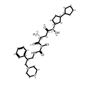 CCN(C(=O)NCC(CN1CCOCC1)c1ccccc1)C(=O)[C@H](C)CC(=O)N(O)[C@H]1CCC(C2CCCC2)C1